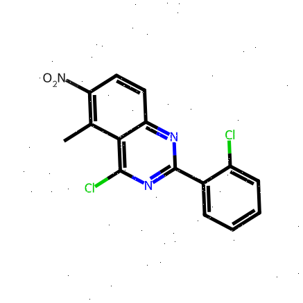 Cc1c([N+](=O)[O-])ccc2nc(-c3ccccc3Cl)nc(Cl)c12